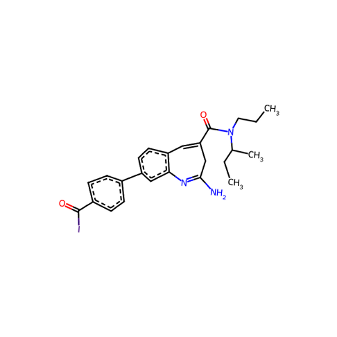 CCCN(C(=O)C1=Cc2ccc(-c3ccc(C(=O)I)cc3)cc2N=C(N)C1)C(C)CC